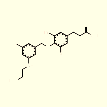 CCCNc1cc(Cl)cc(COc2c(Br)cc(CCC(=O)O)cc2Br)c1